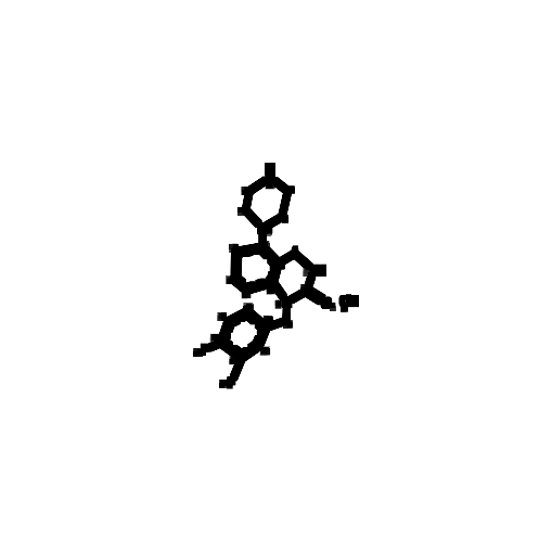 Cl.O=C1NCc2c(N3CCNCC3)cccc2N1Cc1ccc(F)c(F)c1